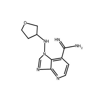 N=C(N)c1ccnc2ncn(NC3CCOC3)c12